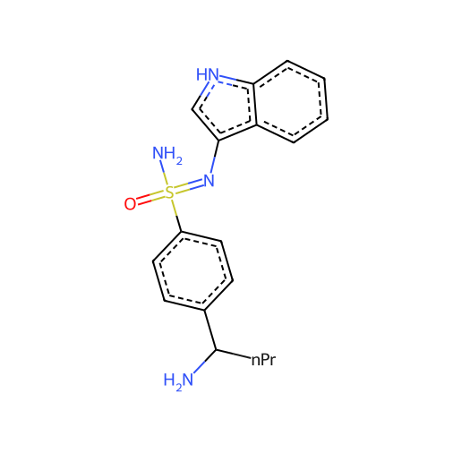 CCCC(N)c1ccc(S(N)(=O)=Nc2c[nH]c3ccccc23)cc1